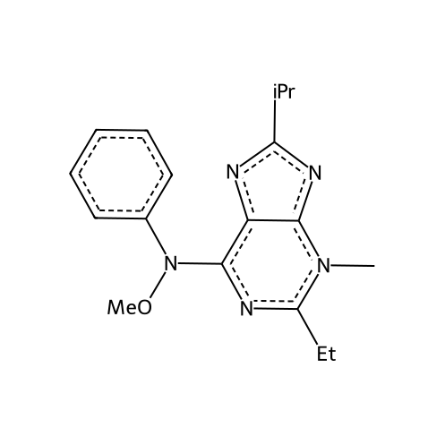 CCc1nc(N(OC)c2ccccc2)c2nc(C(C)C)nc-2n1C